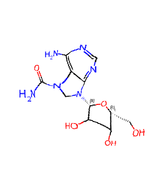 NC(=O)N1CN([C@@H]2O[C@H](CO)C(O)C2O)c2ncnc(N)c21